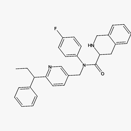 CCC(c1ccccc1)c1ccc(CN(C(=O)C2Cc3ccccc3CN2)c2ccc(F)cc2)cn1